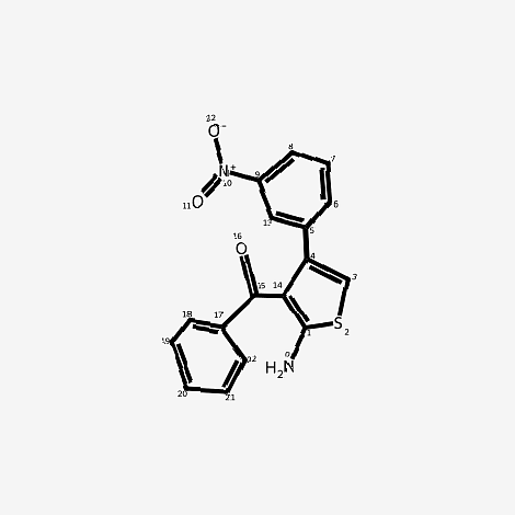 Nc1scc(-c2cccc([N+](=O)[O-])c2)c1C(=O)c1ccccc1